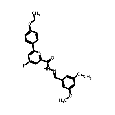 CCOc1ccc(-c2cc(F)cc(C(=O)N/N=C/c3cc(OC)cc(OC)c3)n2)cc1